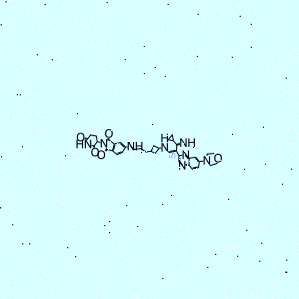 N=C(/C(=C\NC1CC(CCCNc2ccc3c(c2)C(=O)N(C2CCC(=O)NC2=O)C3=O)C1)c1cnc2ccc(N3CCOCC3)cc2n1)C1CC1